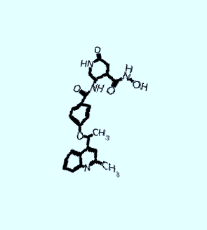 Cc1cc(C(C)Oc2ccc(C(=O)NC3CNC(=O)CC3C(=O)NO)cc2)c2ccccc2n1